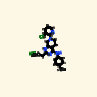 COCc1nc2c(c(Nc3ccc(C(C)(C)C)cc3)n1)CCN(c1ncccc1Cl)C2.Cl